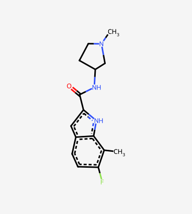 Cc1c(F)ccc2cc(C(=O)NC3CCN(C)C3)[nH]c12